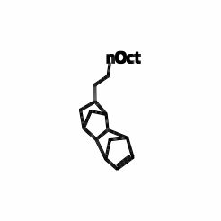 CCCCCCCCCCC1CC2CC1C1C3C=CC(C3)C21